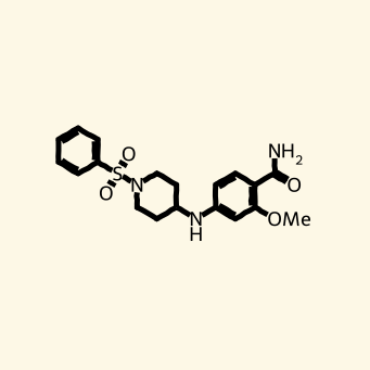 COc1cc(NC2CCN(S(=O)(=O)c3ccccc3)CC2)ccc1C(N)=O